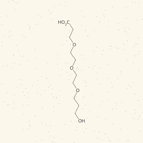 O=C(O)CCOCCOCCOCCCO